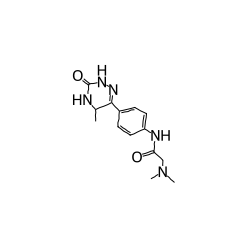 CC1NC(=O)NN=C1c1ccc(NC(=O)CN(C)C)cc1